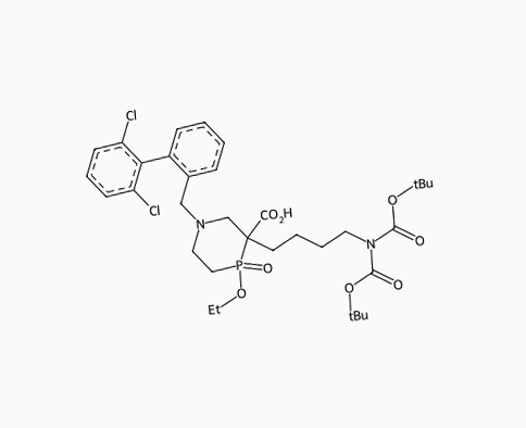 CCOP1(=O)CCN(Cc2ccccc2-c2c(Cl)cccc2Cl)CC1(CCCCN(C(=O)OC(C)(C)C)C(=O)OC(C)(C)C)C(=O)O